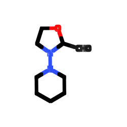 O=CC1OCCN1N1CCCCC1